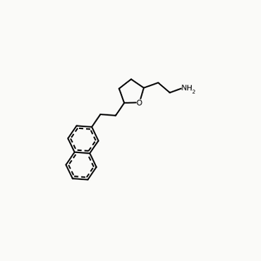 NCCC1CCC(CCc2ccc3ccccc3c2)O1